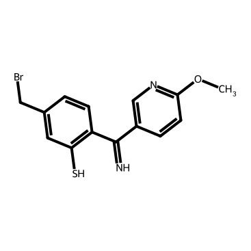 COc1ccc(C(=N)c2ccc(CBr)cc2S)cn1